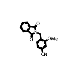 COc1cc(C#N)ccc1CN1C(=O)c2ccccc2C1=O